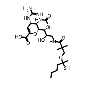 CCCCC(C)(S)OCC(C)(C)C(=O)NC[C@@H](O)[C@@H](O)[C@@H]1OC(C(=O)O)=C[C@H](NC(=N)N)[C@H]1NC(C)=O